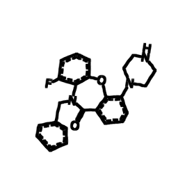 O=C1c2cccc(N3CCNCC3)c2Oc2cccc(F)c2N1Cc1ccccc1